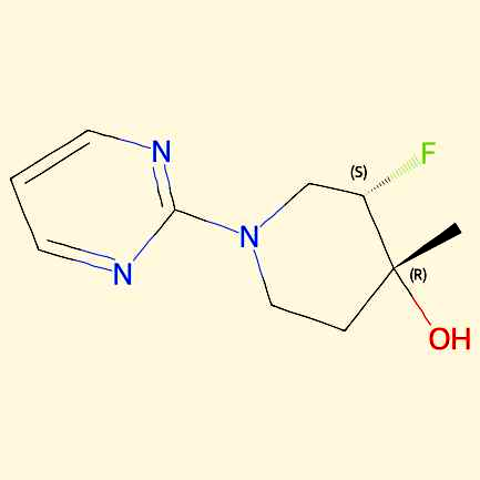 C[C@@]1(O)CCN(c2ncccn2)C[C@@H]1F